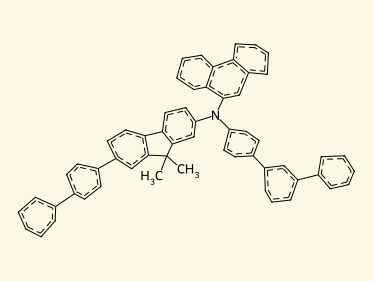 CC1(C)c2cc(-c3ccc(-c4ccccc4)cc3)ccc2-c2ccc(N(c3ccc(-c4cccc(-c5ccccc5)c4)cc3)c3cc4ccccc4c4ccccc34)cc21